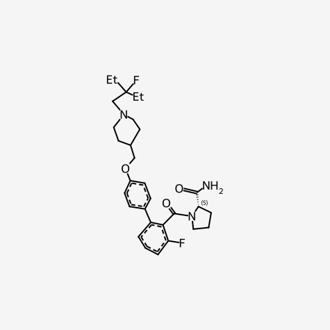 CCC(F)(CC)CN1CCC(COc2ccc(-c3cccc(F)c3C(=O)N3CCC[C@H]3C(N)=O)cc2)CC1